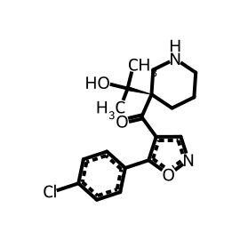 CC(C)(O)[C@]1(C(=O)c2cnoc2-c2ccc(Cl)cc2)CCCNC1